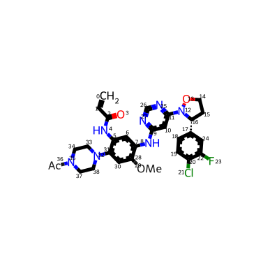 C=CC(=O)Nc1cc(Nc2cc(N3OCC[C@@H]3c3ccc(Cl)c(F)c3)ncn2)c(OC)cc1N1CCN(C(C)=O)CC1